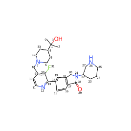 CC(C)(O)C1CCN(Cc2ccnc(-c3ccc4c(c3)CN(C3CCCNC3)C4=O)c2F)CC1